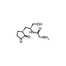 NCC(=O)N[C@H](CO)C[C@@H]1CCNC1=O